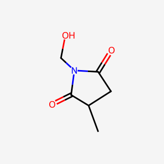 CC1CC(=O)N(CO)C1=O